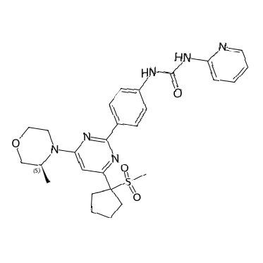 C[C@H]1COCCN1c1cc(C2(S(C)(=O)=O)CCCC2)nc(-c2ccc(NC(=O)Nc3ccccn3)cc2)n1